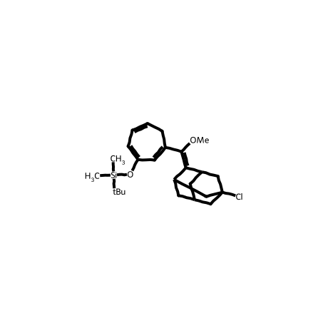 COC(C1=CC(O[Si](C)(C)C(C)(C)C)=CC=CC1)=C1C2CC3CC1CC(Cl)(C3)C2